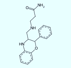 NC(=O)CCNCC1Nc2ccccc2OC1c1ccccc1